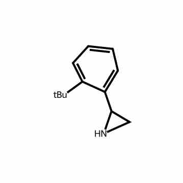 CC(C)(C)c1ccccc1C1CN1